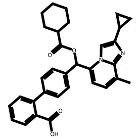 Cc1ccc(C(OC(=O)C2CCCCC2)c2ccc(-c3ccccc3C(=O)O)cc2)n2cc(C3CC3)nc12